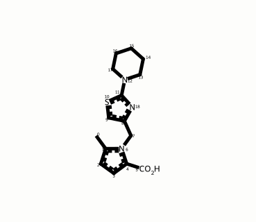 Cc1ccc(C(=O)O)n1Cc1csc(N2CCCCC2)n1